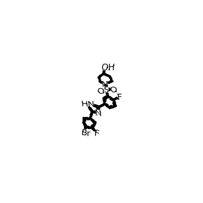 O=S(=O)(c1cc(-c2nc(-c3ccc(Br)c(F)c3)c[nH]2)ccc1F)N1CCC(O)CC1